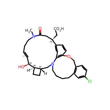 CN1CC/C=C/[C@H](O)[C@@H]2CC[C@H]2CN2CCCCc3cc(Cl)ccc3COc3ccc(cc32)[C@H](CC(=O)O)CC1=O